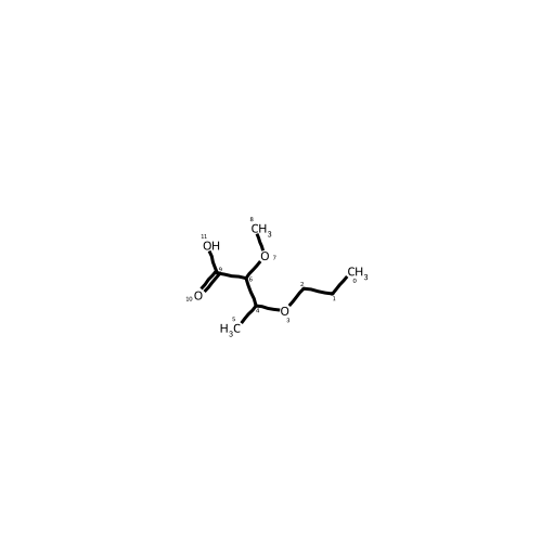 CCCOC(C)C(OC)C(=O)O